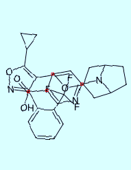 O=C(O)c1ccc(N2C3CCC2CC(OCc2c(-c4ccccc4C(F)(F)F)noc2C2CC2)C3)nc1